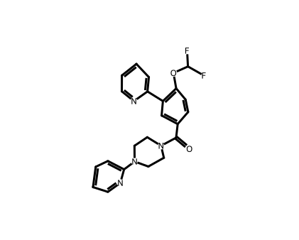 O=C(c1ccc(OC(F)F)c(-c2ccccn2)c1)N1CCN(c2ccccn2)CC1